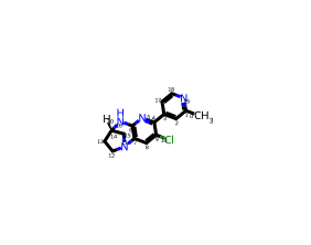 Cc1cc(-c2nc3c(cc2Cl)N2CC[C@@H](C2)N3)ccn1